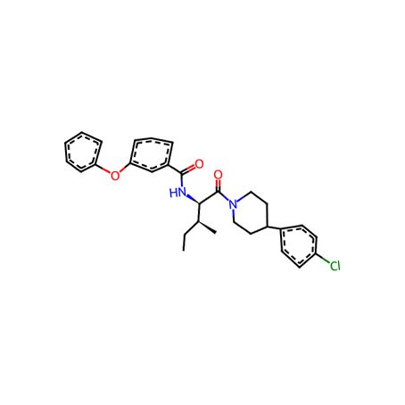 CC[C@H](C)[C@@H](NC(=O)c1cccc(Oc2ccccc2)c1)C(=O)N1CCC(c2ccc(Cl)cc2)CC1